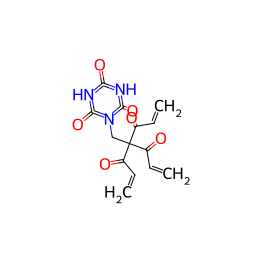 C=CC(=O)C(Cn1c(=O)[nH]c(=O)[nH]c1=O)(C(=O)C=C)C(=O)C=C